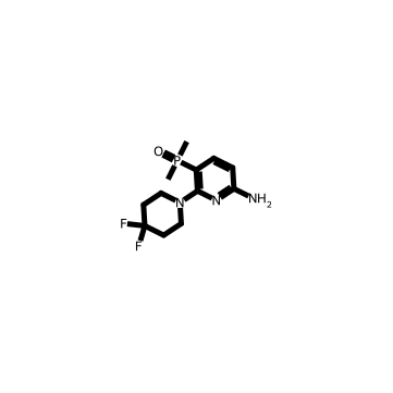 CP(C)(=O)c1ccc(N)nc1N1CCC(F)(F)CC1